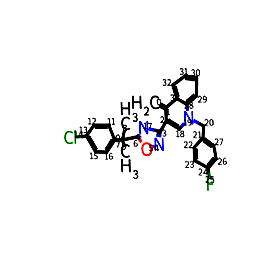 C=C1C(c2noc(C(C)(C)c3ccc(Cl)cc3)n2)=CN(Cc2ccc(F)cc2)c2ccccc21